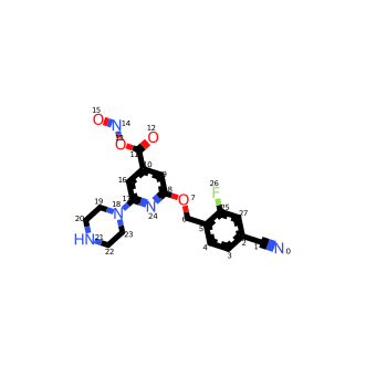 N#Cc1ccc(COc2cc(C(=O)ON=O)cc(N3CCNCC3)n2)c(F)c1